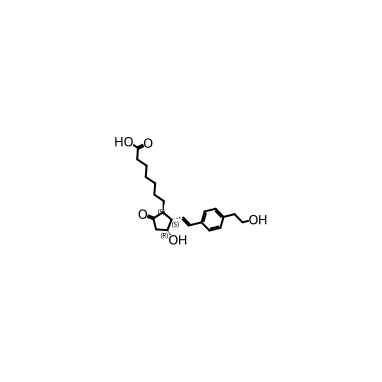 O=C(O)CCCCCC[C@@H]1C(=O)C[C@@H](O)[C@H]1C=Cc1ccc(CCO)cc1